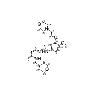 C=C(/C=C\N=C(/C)Nc1ccc(OC)c(OCCN2CCOCC2)c1)NCC1CCOCC1